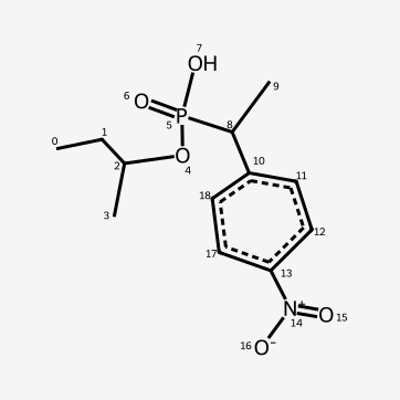 CCC(C)OP(=O)(O)C(C)c1ccc([N+](=O)[O-])cc1